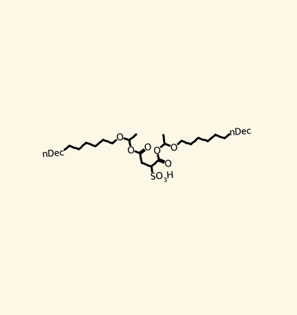 CCCCCCCCCCCCCCCCOC(C)OC(=O)CC(C(=O)OC(C)OCCCCCCCCCCCCCCCC)S(=O)(=O)O